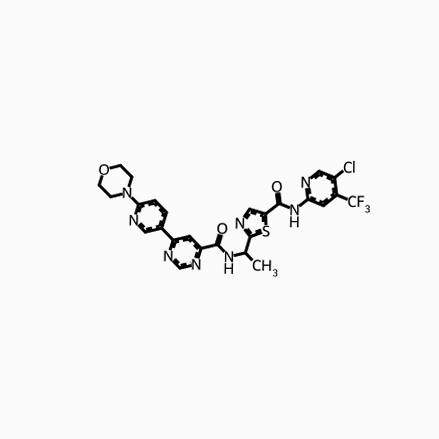 CC(NC(=O)c1cc(-c2ccc(N3CCOCC3)nc2)ncn1)c1ncc(C(=O)Nc2cc(C(F)(F)F)c(Cl)cn2)s1